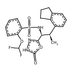 C[C@H](c1cccc2c1CCC2)[C@H](NS(=O)(=O)c1ccccc1OC(F)F)c1n[nH]c(=O)o1